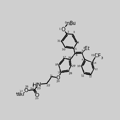 CCCCOc1ccc(/C(=C(\CC)c2ccccc2C(F)(F)F)c2ccc(OCCNC(=O)OC(C)(C)C)cc2)cc1